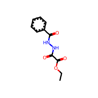 CCOC(=O)C(=O)NNC(=O)c1ccccc1